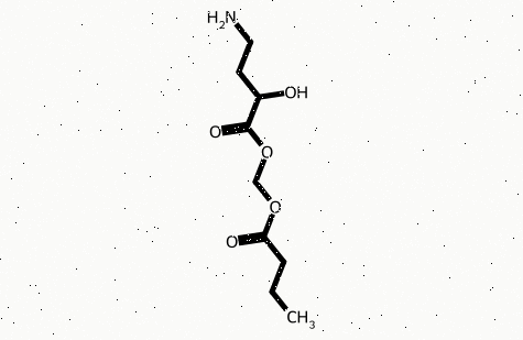 CCCC(=O)OCOC(=O)C(O)CCN